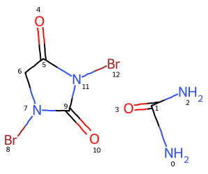 NC(N)=O.O=C1CN(Br)C(=O)N1Br